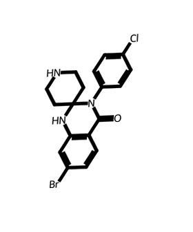 O=C1c2ccc(Br)cc2NC2(CCNCC2)N1c1ccc(Cl)cc1